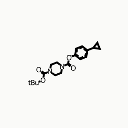 CC(C)(C)OC(=O)N1CCN(C(=O)Oc2ccc(C3CC3)cc2)CC1